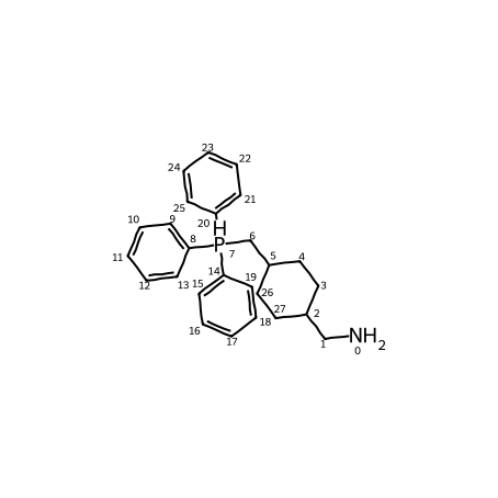 NCC1CCC(C[PH](c2ccccc2)(c2ccccc2)c2ccccc2)CC1